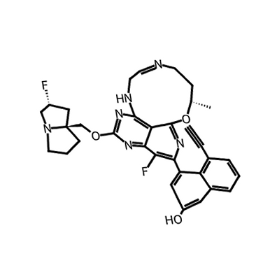 C#Cc1cccc2cc(O)cc(-c3nc4c5c(nc(OC[C@@]67CCCN6C[C@H](F)C7)nc5c3F)NC/C=N\CC[C@H](C)O4)c12